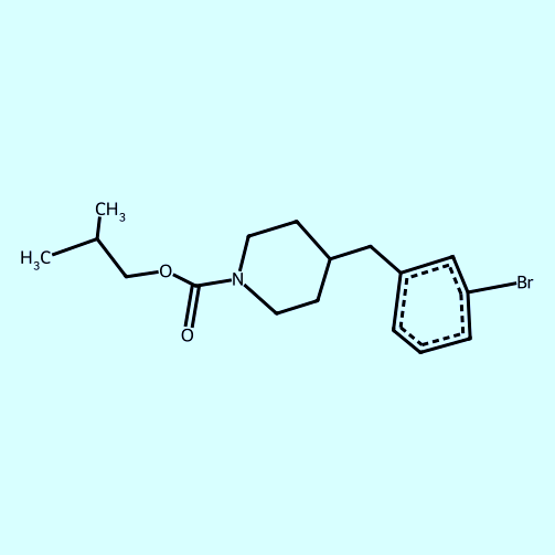 CC(C)COC(=O)N1CCC(Cc2cccc(Br)c2)CC1